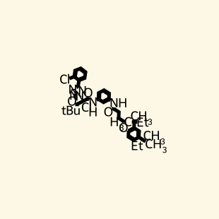 CCC(C)(C)c1ccc(OCCCC(=O)Nc2cccc(NC(=O)C(Cl)(C(=O)C(C)(C)C)n3nnc(-c4ccccc4Cl)n3)c2)c(C(C)(C)CC)c1